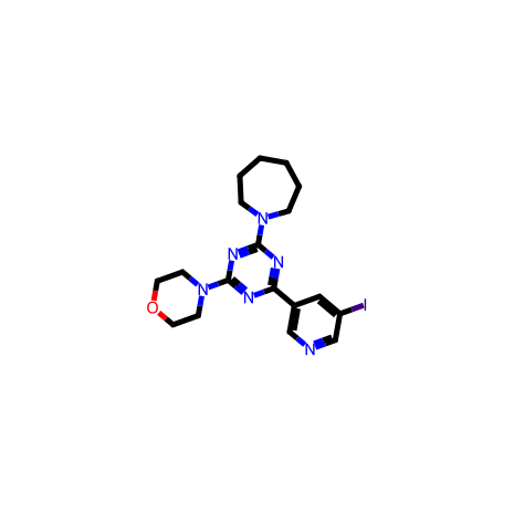 Ic1cncc(-c2nc(N3CCCCCC3)nc(N3CCOCC3)n2)c1